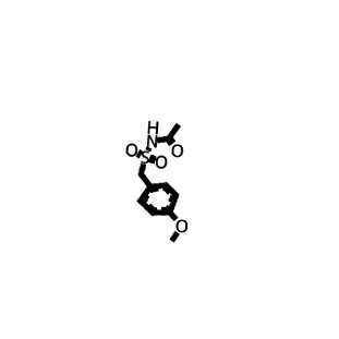 COc1ccc(CS(=O)(=O)NC(C)=O)cc1